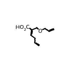 C=CCC=C(COCC=C)C(=O)O